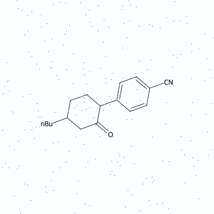 CCCCC1CCC(c2ccc(C#N)cc2)C(=O)C1